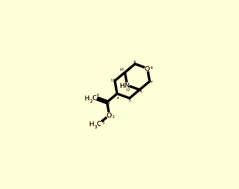 C=C(OC)C1CC2COCC(C1)N2